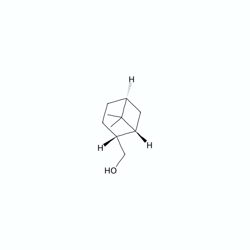 CC1(C)[C@H]2CC[C@@H](CO)[C@H]1C2